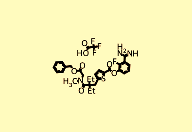 CCC(CC)(Cc1ccc(C(=O)Oc2cccc(C(=N)N)c2F)s1)C(=O)N(C)CC(=O)OCc1ccccc1.O=C(O)C(F)(F)F